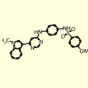 COc1ccc(S(=O)(=O)Nc2ccc(Nc3cc(-c4cn(C)c5ccccc45)ncn3)cc2)cc1